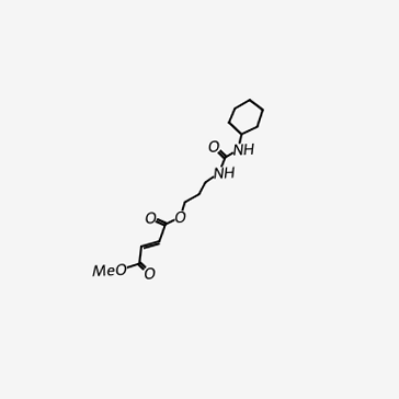 COC(=O)/C=C/C(=O)OCCCNC(=O)NC1CCCCC1